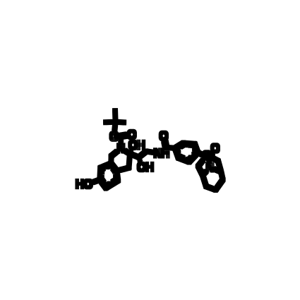 CC(C)(C)OC(=O)N1Cc2cc(O)ccc2C[C@]1(O)[C@H](O)CNC(=O)c1ccc(C(=O)N2C3CCCC2COC3)cc1